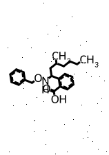 CCCCC(C)CC(NOCc1ccccc1)c1ccccc1C(=O)O